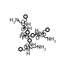 NCCCC[C@@H](NC(=O)Cc1ccccc1)C(=O)Nc1ccc(C(OC(=O)C(F)(F)F)(c2ccc(NC(=O)[C@@H](CCCCN)NC(=O)Cc3ccccc3)cc2)c2ccc(NC(=O)[C@@H](CCCCN)NC(=O)Cc3ccccc3)cc2)cc1